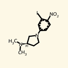 CN(C)[C@@H]1CCN(c2ccc([N+](=O)[O-])c(I)c2)C1